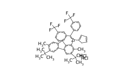 Cc1cc2c(cc1C(C)(C)C)-c1cc(C(C)(C)C)c(C)[c]([Zr]([C]3=CC=CC3)=[C](c3cccc(C(F)(F)F)c3)c3cccc(C(F)(F)F)c3)c1C2.Cl.Cl